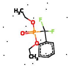 CCOP(=O)(OCC)C(F)(F)c1ccccc1